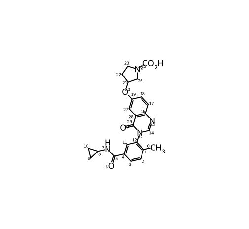 Cc1ccc(C(=O)NC2CC2)cc1-n1cnc2ccc(OC3CCN(C(=O)O)C3)cc2c1=O